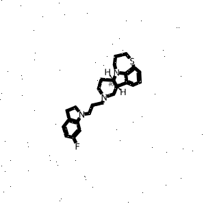 Fc1ccc2c(c1)N(CCCN1CC[C@@H]3[C@H](C1)c1cccc4c1N3CCCS4)CC2